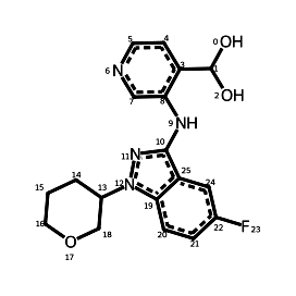 OC(O)c1ccncc1Nc1nn(C2CCCOC2)c2ccc(F)cc12